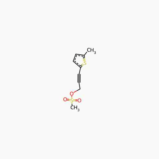 Cc1ccc(C#CCOS(C)(=O)=O)s1